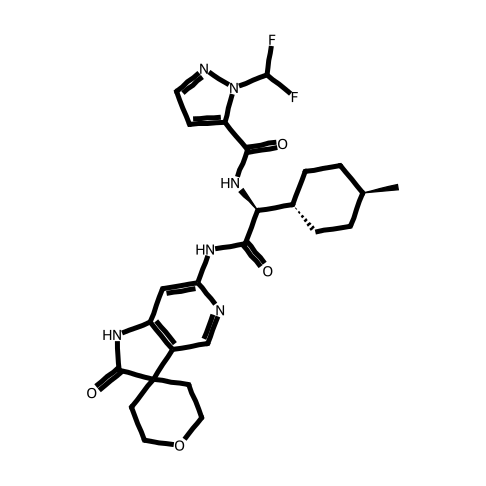 C[C@H]1CC[C@H]([C@H](NC(=O)c2ccnn2C(F)F)C(=O)Nc2cc3c(cn2)C2(CCOCC2)C(=O)N3)CC1